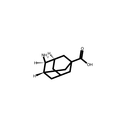 N[C@H]1[C@@H]2CC3C[C@H]1CC(C(=O)O)(C3)C2